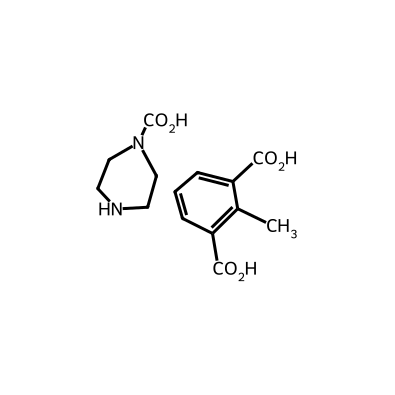 Cc1c(C(=O)O)cccc1C(=O)O.O=C(O)N1CCNCC1